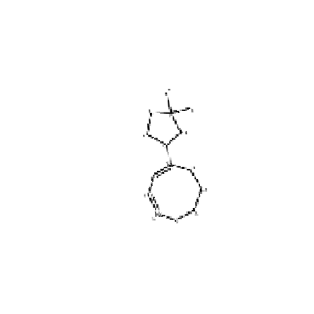 CC1(C)CCC(/C2=C/C=N\CCCC2)C1